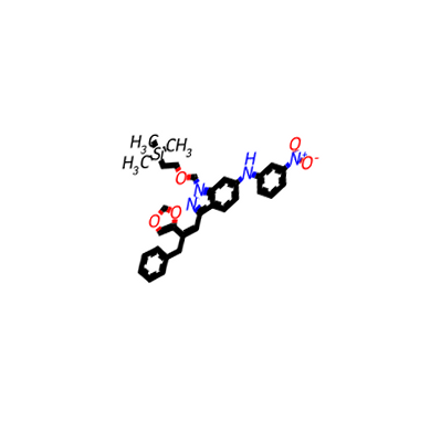 C[Si](C)(C)CCOCn1nc(C=C(Cc2ccccc2)C2=COCO2)c2ccc(Nc3cccc([N+](=O)[O-])c3)cc21